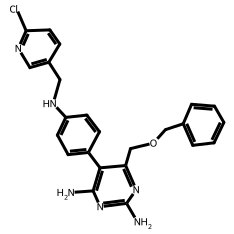 Nc1nc(N)c(-c2ccc(NCc3ccc(Cl)nc3)cc2)c(COCc2ccccc2)n1